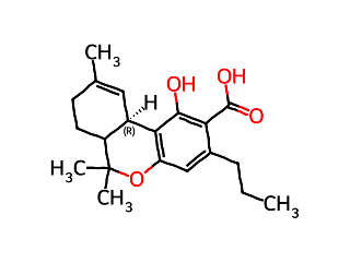 CCCc1cc2c(c(O)c1C(=O)O)[C@@H]1C=C(C)CCC1C(C)(C)O2